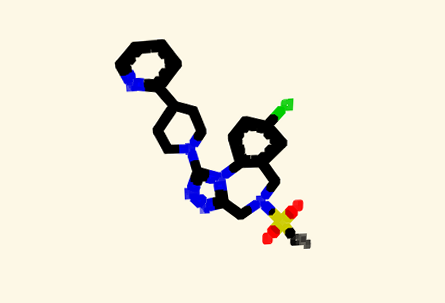 CS(=O)(=O)N1Cc2cc(Cl)ccc2-n2c(nnc2N2CCC(c3ccccn3)CC2)C1